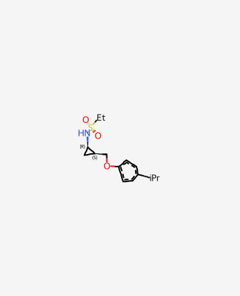 CCS(=O)(=O)N[C@@H]1C[C@@H]1COc1ccc(C(C)C)cc1